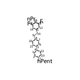 CCCCCc1ccc(-c2ccc(CCc3cc(F)c(CCC)c(F)c3)cc2)cc1